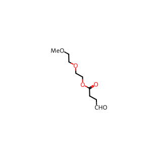 COCCOCCOC(=O)CCC=O